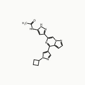 CC(=O)Nc1cc(-c2cn3nccc3c(-c3cnn(C4CCC4)c3)n2)n[nH]1